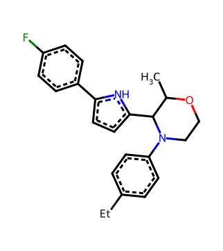 CCc1ccc(N2CCOC(C)C2c2ccc(-c3ccc(F)cc3)[nH]2)cc1